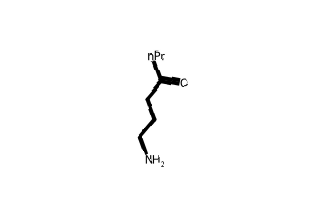 CCCC(=O)CCCN